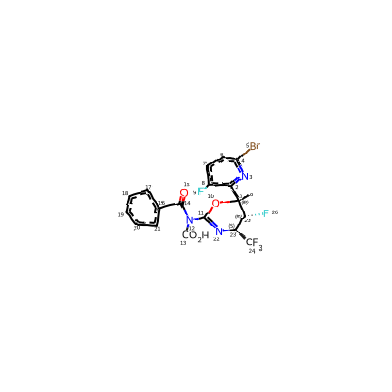 C[C@]1(c2nc(Br)ccc2F)OC(N(C(=O)O)C(=O)c2ccccc2)=N[C@H](C(F)(F)F)[C@H]1F